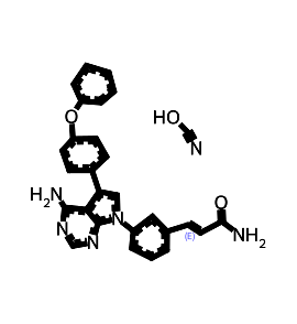 N#CO.NC(=O)/C=C/c1cccc(-n2cc(-c3ccc(Oc4ccccc4)cc3)c3c(N)ncnc32)c1